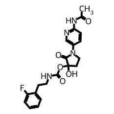 CC(=O)Nc1ccc(N2CCC(O)(OC(=O)NCCc3ccccc3F)C2=O)cn1